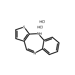 C1=Nc2ccccc2Nc2sccc21.Cl.Cl